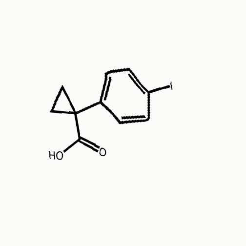 O=C(O)C1(c2ccc(I)cc2)CC1